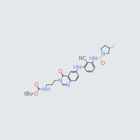 CC(C)(C)OC(=O)NCCCn1cnc2ccc(Nc3cccc(N[S+]([O-])N4CC[C@@H](F)C4)c3C#N)cc2c1=O